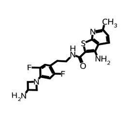 Cc1ccc2c(N)c(C(=O)NCCc3cc(F)c(N4CC(N)C4)cc3F)sc2n1